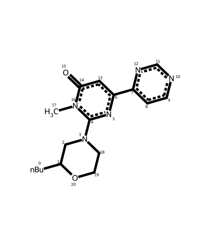 CCCCC1CN(c2nc(-c3ccncn3)cc(=O)n2C)CCO1